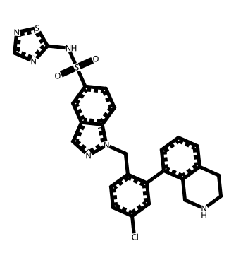 O=S(=O)(Nc1ncns1)c1ccc2c(cnn2Cc2ccc(Cl)cc2-c2cccc3c2CNCC3)c1